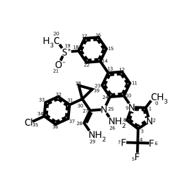 Cc1nc(C(F)(F)F)cn1-c1ccc(-c2cccc([S+](C)[O-])c2)cc1N(N)/C(=C\N)C1(c2ccc(Cl)cc2)CC1